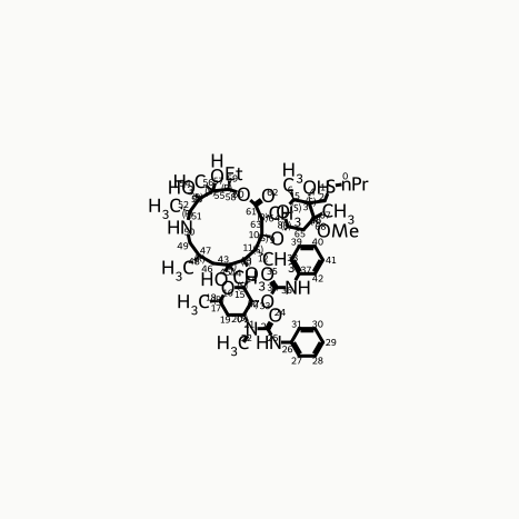 CCCSC[C@]1(O)[C@H](C)O[C@@H](O[C@H]2[C@H](C)[C@@H](O[C@@H]3O[C@H](C)C[C@H](N(C)C(=O)Nc4ccccc4)[C@H]3OC(=O)Nc3ccccc3)[C@](C)(O)C[C@@H](C)CN[C@H](C)[C@@H](O)[C@](C)(O)[C@@H](CC)OC(=O)[C@@H]2C)C[C@@]1(C)OC